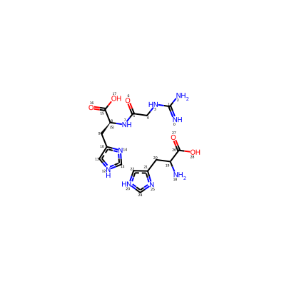 N=C(N)NCC(=O)N[C@@H](Cc1c[nH]cn1)C(=O)O.NC(Cc1c[nH]cn1)C(=O)O